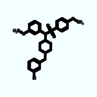 COc1ccc(S(=O)(=O)N(c2cccc(OC)c2)C2CCN(Cc3cccc(Cl)c3)CC2)cc1